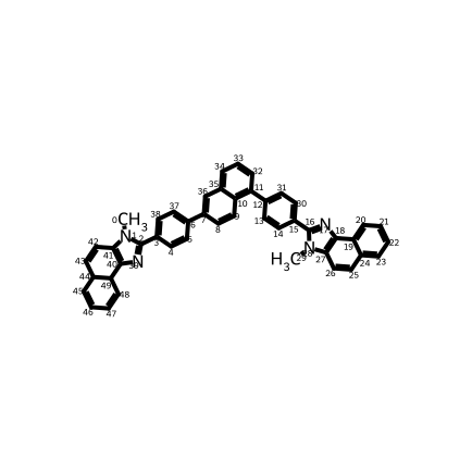 Cn1c(-c2ccc(-c3ccc4c(-c5ccc(-c6nc7c8ccccc8ccc7n6C)cc5)cccc4c3)cc2)nc2c1C=CC1C=CC=CC21